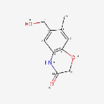 Cc1cc2c(cc1CO)NC(=O)CO2